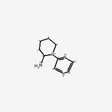 NC1CCCCN1c1cnccn1